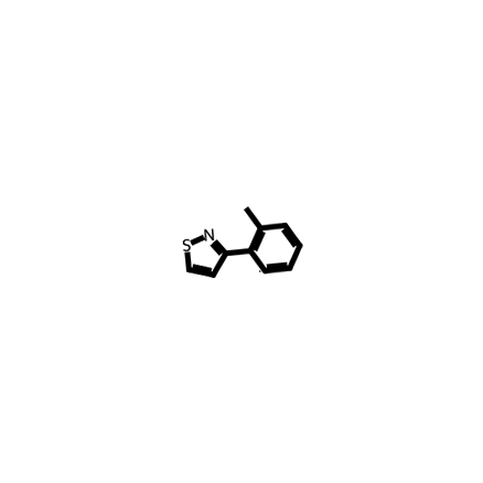 Cc1ccc[c]c1-c1ccsn1